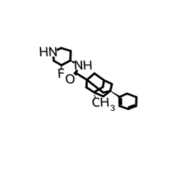 C[C@@]12CC3CC(C(=O)N[C@@H]4CCNC[C@H]4F)(C1)C[C@](C1=CC=CCC1)(C3)C2